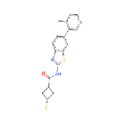 Cc1ccncc1-c1ccc2nc(NC(=O)C3CC(F)C3)sc2c1